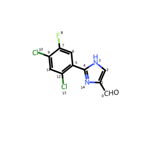 O=Cc1c[nH]c(-c2cc(F)c(Cl)cc2Cl)n1